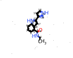 CCNC(=O)c1cccc2[nH]c(-c3cc[nH]n3)cc12